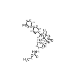 CCOC(=O)NC[C@@H]1CC[C@@H]2[C@@H](C1)C[C@H]1C(=O)O[C@H](C)[C@H]1[C@H]2/C=C/c1ccc(-c2cccc(F)c2)cn1